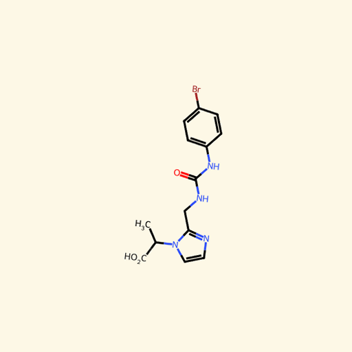 CC(C(=O)O)n1ccnc1CNC(=O)Nc1ccc(Br)cc1